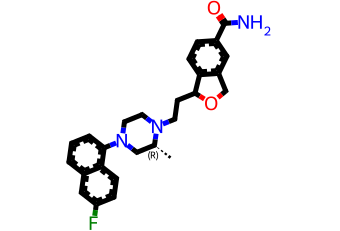 C[C@@H]1CN(c2cccc3cc(F)ccc23)CCN1CCC1OCc2cc(C(N)=O)ccc21